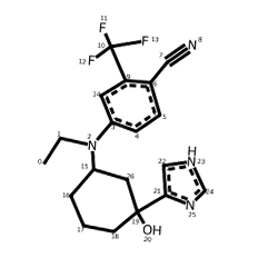 CCN(c1ccc(C#N)c(C(F)(F)F)c1)C1CCCC(O)(c2c[nH]cn2)C1